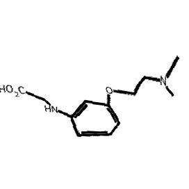 CN(C)CCOc1cccc(NCC(=O)O)c1